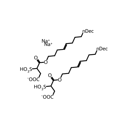 CCCCCCCCCCCCCC=CCCCOC(=O)C(CC(=O)[O-])S(=O)(=O)O.CCCCCCCCCCCCCC=CCCCOC(=O)C(CC(=O)[O-])S(=O)(=O)O.[Na+].[Na+]